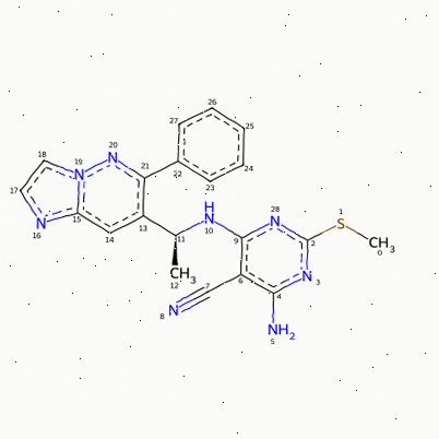 CSc1nc(N)c(C#N)c(N[C@@H](C)c2cc3nccn3nc2-c2ccccc2)n1